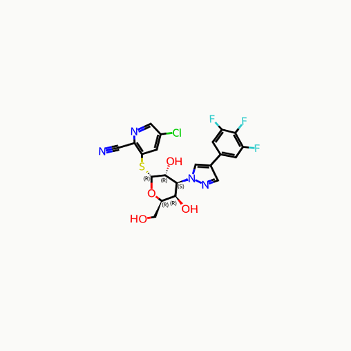 N#Cc1ncc(Cl)cc1S[C@H]1O[C@H](CO)[C@H](O)[C@H](n2cc(-c3cc(F)c(F)c(F)c3)cn2)[C@H]1O